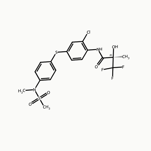 CN(c1ccc(Sc2ccc(NC(=O)[C@@](C)(O)C(F)(F)F)c(Cl)c2)cc1)S(C)(=O)=O